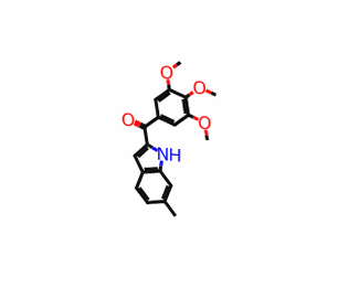 COc1cc(C(=O)c2cc3ccc(C)cc3[nH]2)cc(OC)c1OC